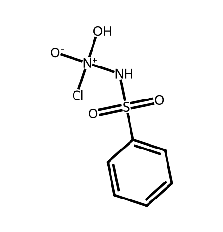 O=S(=O)(N[N+]([O-])(O)Cl)c1ccccc1